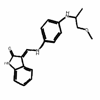 COCC(C)Nc1ccc(N/C=C2/C(=O)Nc3ccccc32)cc1